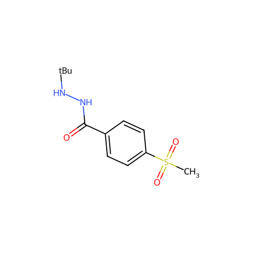 CC(C)(C)NNC(=O)c1ccc(S(C)(=O)=O)cc1